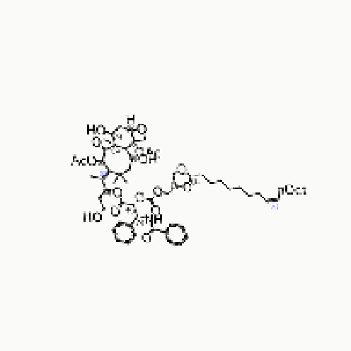 CCCCCCCC/C=C\CCCCCCC[C@H]1OC[C@@H](COC(=O)O[C@@H](C(=O)O[C@@H](CCO)/C(C)=C2/[C@@H](OC(C)=O)C(=O)[C@@]3(C)C([C@H](O)CC2(C)C)[C@]2(OC(C)=O)CO[C@@H]2C[C@@H]3O)[C@@H](NC(=O)c2ccccc2)c2ccccc2)O1